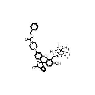 CC(C)(C)[Si](C)(C)OCc1c(O)ccc2c1Oc1cc(N3CCN(C(=O)OCc4ccccc4)CC3)ccc1C21OC(=O)c2ccccc21